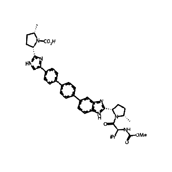 COC(=O)NC(C(=O)N1[C@@H](C)CC[C@H]1c1nc2cc(-c3ccc(-c4ccc(-c5c[nH]c([C@@H]6CC[C@H](C)N6C(=O)O)n5)cc4)cc3)ccc2[nH]1)C(C)C